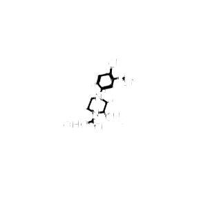 CCOc1cc(N2CCN(C(Cl)C=O)[C@@H](C)C2)ccc1Cl